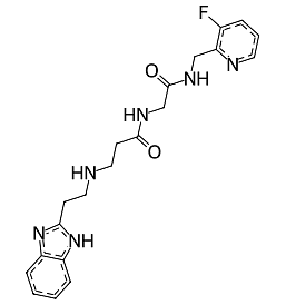 O=C(CCNCCc1nc2ccccc2[nH]1)NCC(=O)NCc1ncccc1F